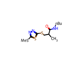 CCCCNC(=O)C(C)CSc1nnc(SC)s1